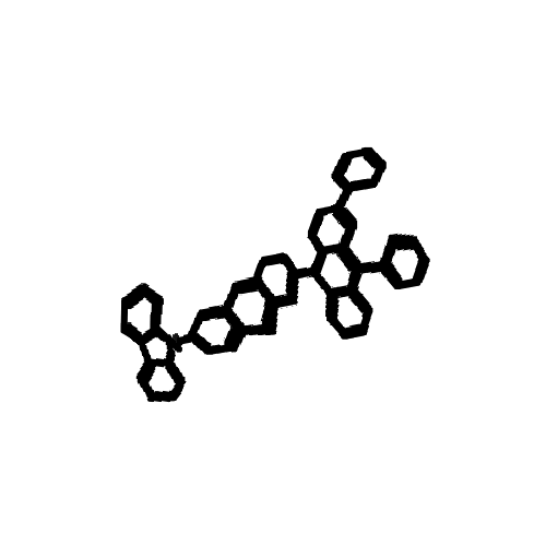 c1ccc(-c2ccc3c(-c4ccc5cc6cc(-n7c8ccccc8c8ccccc87)ccc6cc5c4)c4ccccc4c(-c4ccccc4)c3c2)cc1